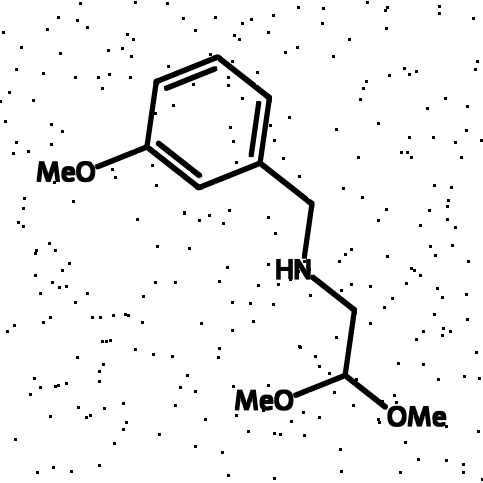 COc1cccc(CNCC(OC)OC)c1